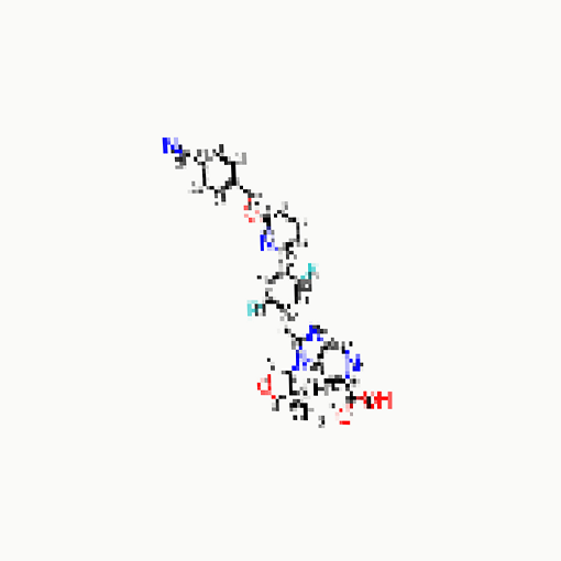 CC1(C)COC[C@H]1n1c(Cc2cc(F)c(-c3cccc(OCc4ccc(C#N)cc4)n3)cc2F)nc2cnc(C(=O)O)cc21